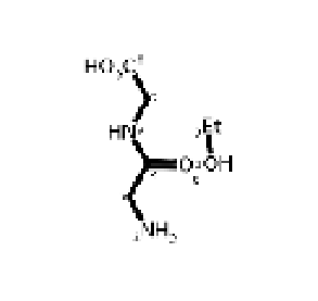 CCO.NCC(=O)NCC(=O)O